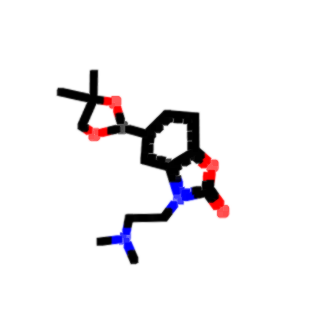 CN(C)CCn1c(=O)oc2ccc(B3OCC(C)(C)O3)cc21